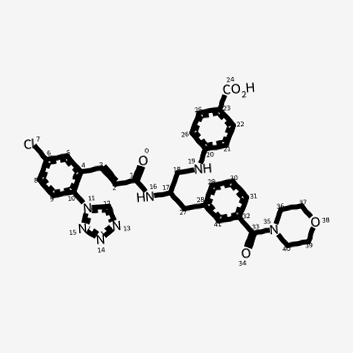 O=C(/C=C/c1cc(Cl)ccc1-n1cnnn1)NC(CNc1ccc(C(=O)O)cc1)Cc1cccc(C(=O)N2CCOCC2)c1